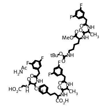 CC(N)=O.CC(NC(=O)Cc1cc(F)cc(F)c1)C(=O)NC(CCc1ccccc1)C(=O)O.CC(NC(=O)Cc1cc(F)cc(F)c1)C(=O)NCC(=O)O.COC(=O)C(CCCCNC(=O)OC(C)(C)C)NC(=O)C(C)NC(=O)Cc1cc(F)cc(F)c1